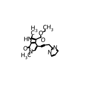 CCOC(=O)c1c(C)[nH]c2c(=O)n(C)cc(C#CCc3ncccn3)c12